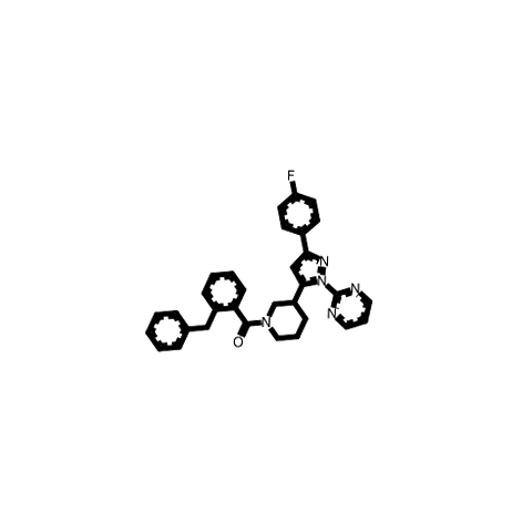 O=C(c1ccccc1Cc1ccccc1)N1CCCC(c2cc(-c3ccc(F)cc3)nn2-c2ncccn2)C1